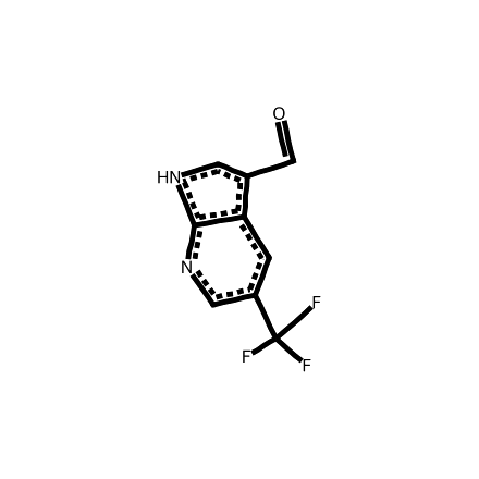 O=Cc1c[nH]c2ncc(C(F)(F)F)cc12